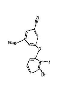 N#Cc1cc(C#N)cc(Oc2cccc(Br)c2I)c1